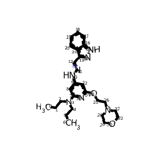 CCCN(CCC)c1cc(N/N=C/c2n[nH]c3ccccc23)cc(OCCN2CCOCC2)n1